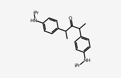 CC(C)Nc1ccc(C(C)C(=O)C(C)c2ccc(NC(C)C)cc2)cc1